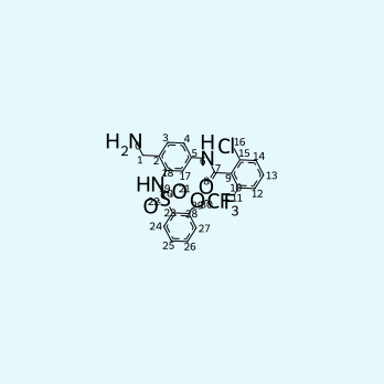 NCc1ccc(NC(=O)c2c(F)cccc2Cl)cc1NS(=O)(=O)c1ccccc1OC(F)(F)F